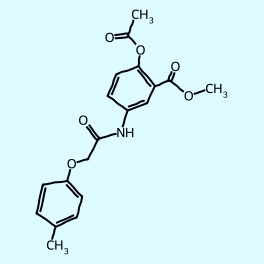 COC(=O)c1cc(NC(=O)COc2ccc(C)cc2)ccc1OC(C)=O